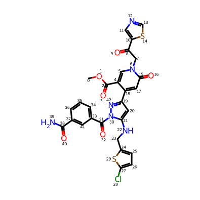 COC(=O)c1cn(CC(=O)c2cncs2)c(=O)cc1-c1cc(NCc2ccc(Cl)s2)n(C(=O)c2cccc(C(N)=O)c2)n1